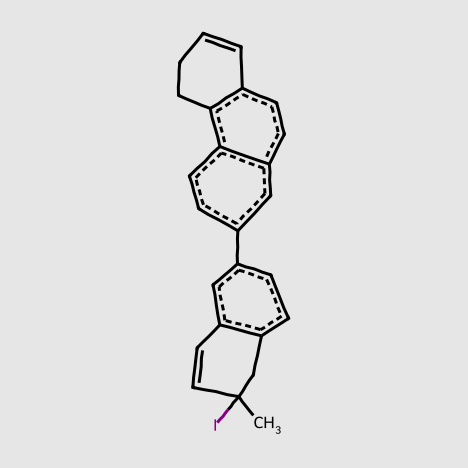 CC1(I)C=Cc2cc(-c3ccc4c5c(ccc4c3)C=CCC5)ccc2C1